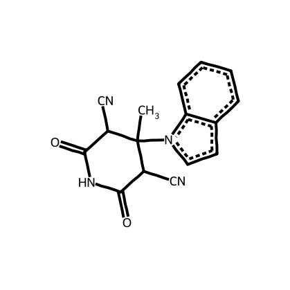 CC1(n2ccc3ccccc32)C(C#N)C(=O)NC(=O)C1C#N